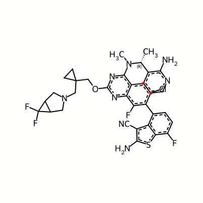 C[C@H](c1cccnc1N)N(C)c1nc(OCC2(CN3CC4C(C3)C4(F)F)CC2)nc2c(F)c(-c3ccc(F)c4sc(N)c(C#N)c34)c(Cl)cc12